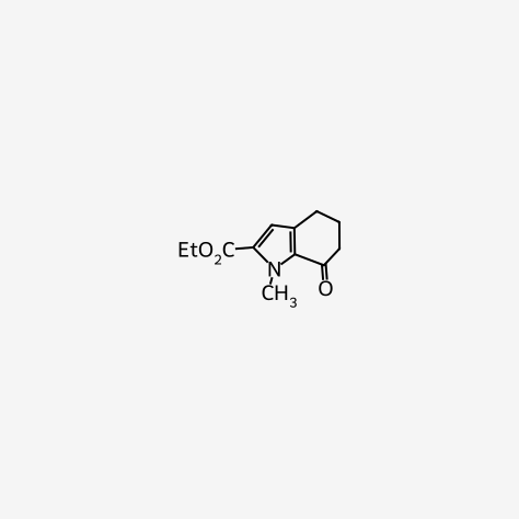 CCOC(=O)c1cc2c(n1C)C(=O)CCC2